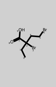 CCC(Br)(CCBr)C(=O)O